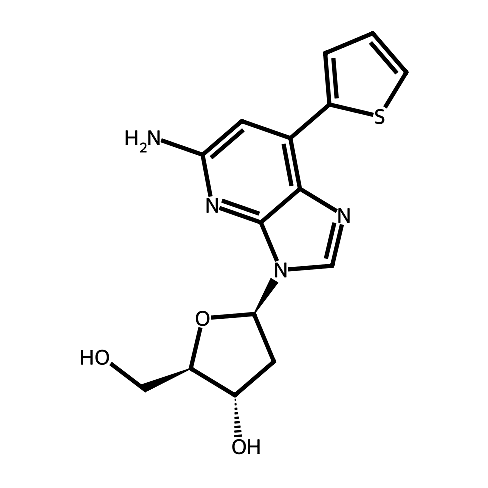 Nc1cc(-c2cccs2)c2ncn([C@H]3C[C@H](O)[C@@H](CO)O3)c2n1